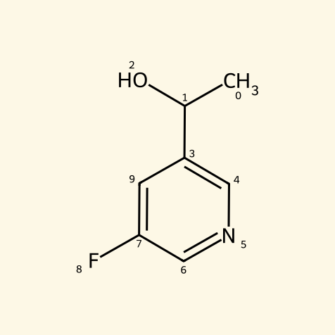 CC(O)c1cncc(F)c1